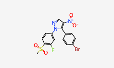 CS(=O)(=O)c1ccc(-n2ncc([N+](=O)[O-])c2-c2ccc(Br)cc2)cc1F